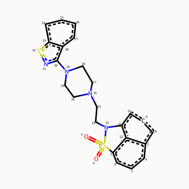 O=S1(=O)c2cccc3cccc(c23)N1CCN1CCN(c2nsc3ccccc23)CC1